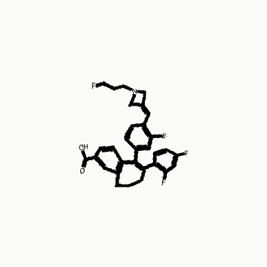 O=C(O)c1ccc2c(c1)CCCC(c1ccc(F)cc1F)=C2c1ccc(C=C2CN(CCCF)C2)c(F)c1